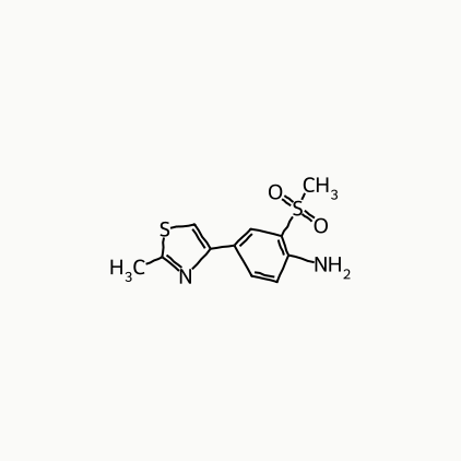 Cc1nc(-c2ccc(N)c(S(C)(=O)=O)c2)cs1